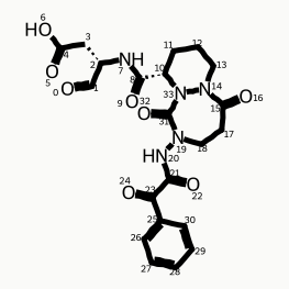 O=C[C@H](CC(=O)O)NC(=O)[C@@H]1CCCN2C(=O)CCN(NC(=O)C(=O)c3ccccc3)C(=O)N12